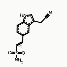 N#CCc1c[nH]c2ccc(/C=C/S(N)(=O)=O)cc12